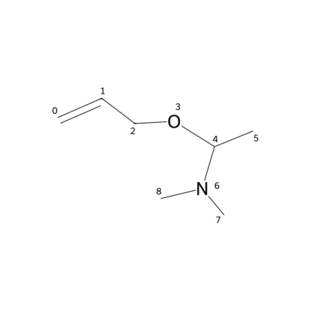 C=CCOC(C)N(C)C